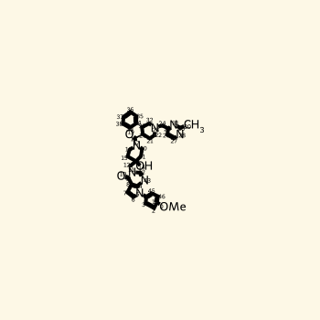 COc1ccc(-n2ccc3c(=O)n(CC4(O)CCN(C(=O)[C@@H]5CCN(Cc6ccnc(C)n6)C[C@H]5c5ccccc5)CC4)cnc32)cc1